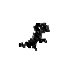 CC[C@H]1CN(c2ccc(C(N)=O)nc2C)CCN1C1CCN(C(=O)c2ccc(Cl)cc2)CC1